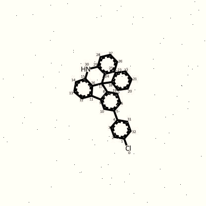 Clc1ccc(-c2ccc3c(c2)-c2cccc4c2C3(c2ccccc2)c2ccccc2N4)cc1